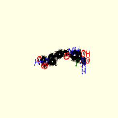 O=C1CN(c2c(O)cc3cc(NC(=O)Cc4ccc(-c5ccc6c7c(cccc57)C(=O)N6[C@H]5CCC(=O)NC5=O)cc4)ccc3c2F)SN1